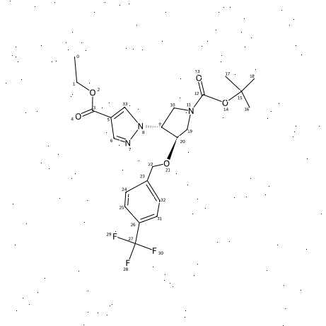 CCOC(=O)c1cnn([C@@H]2CN(C(=O)OC(C)(C)C)C[C@H]2OCc2ccc(C(F)(F)F)cc2)c1